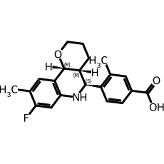 Cc1cc2c(cc1F)N[C@H](c1ccc(C(=O)O)cc1C)[C@H]1CCCO[C@@H]21